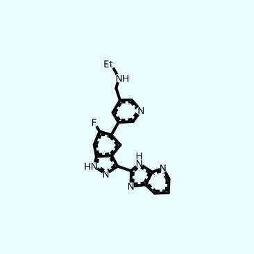 CCNCc1cncc(-c2cc3c(-c4nc5cccnc5[nH]4)n[nH]c3cc2F)c1